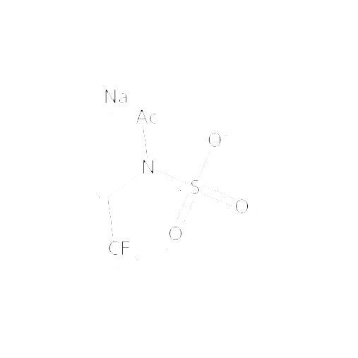 CC(=O)N(CC(F)(F)F)S(=O)(=O)[O-].[Na+]